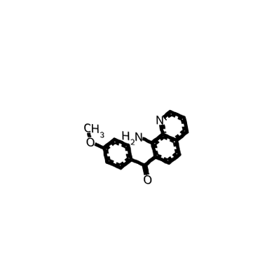 COc1ccc(C(=O)c2ccc3cccnc3c2N)cc1